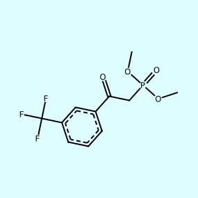 COP(=O)(CC(=O)c1cccc(C(F)(F)F)c1)OC